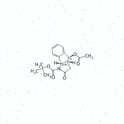 CC(=O)O[C@@H]1c2ccccc2[C@@H]2[C@H]1CC(=O)N2C(=O)OC(C)(C)C